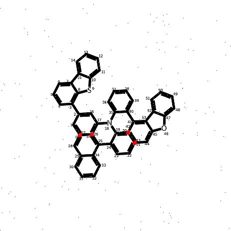 c1cc(-c2cccc3c2sc2ccccc23)cc(N(c2ccccc2-c2cccc3ccccc23)c2ccccc2-c2cccc3oc4ccccc4c23)c1